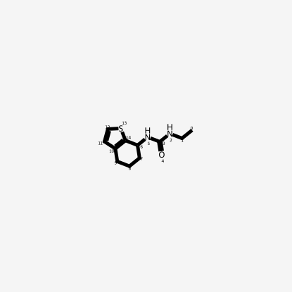 CCNC(=O)NC1CCCc2ccsc21